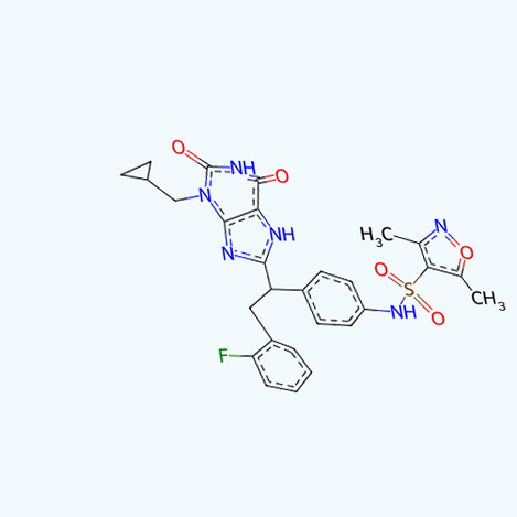 Cc1noc(C)c1S(=O)(=O)Nc1ccc(C(Cc2ccccc2F)c2nc3c([nH]2)c(=O)[nH]c(=O)n3CC2CC2)cc1